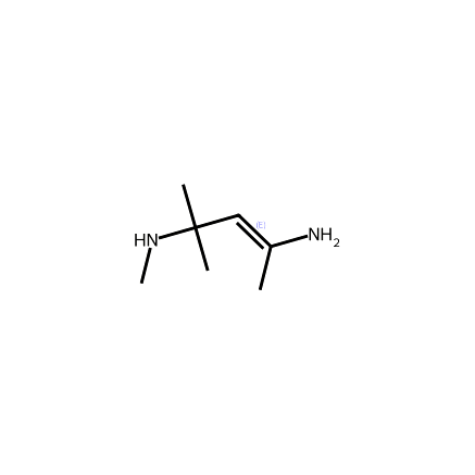 CNC(C)(C)/C=C(\C)N